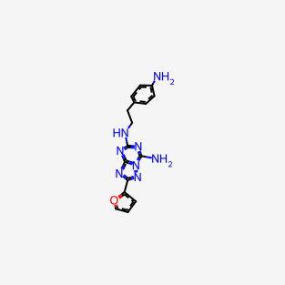 Nc1ccc(CCNc2nc(N)n3nc(-c4ccco4)nc3n2)cc1